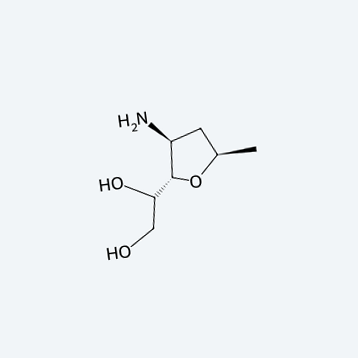 C[C@@H]1C[C@H](N)[C@@H](C(O)CO)O1